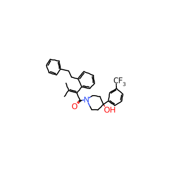 CC(C)=C(C(=O)N1CCC(O)(c2cccc(C(F)(F)F)c2)CC1)c1ccccc1CCc1ccccc1